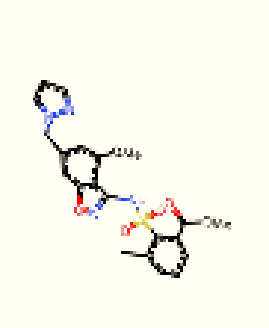 COC(=O)c1cccc(C)c1S(=O)(=O)Nc1noc2cc(Cn3cccn3)cc(OC)c12